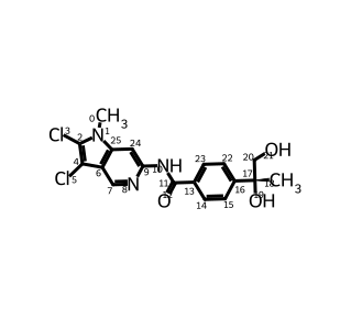 Cn1c(Cl)c(Cl)c2cnc(NC(=O)c3ccc([C@@](C)(O)CO)cc3)cc21